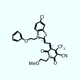 COCCN1C(=O)C(C#N)=C(C(F)(F)F)/C(=C/C=C2\Sc3cc(Cl)ccc3N2CCOc2ccccc2)C1=O